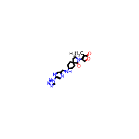 CC1=C(N2C(=O)C3(CCC(NCc4cnc(-n5cnnn5)cn4)CC3)C[C@@H]2C)COC1=O